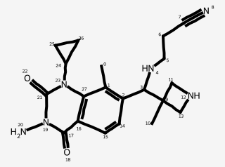 Cc1c(C(NCCC#N)C2(C)CNC2)ccc2c(=O)n(N)c(=O)n(C3CC3)c12